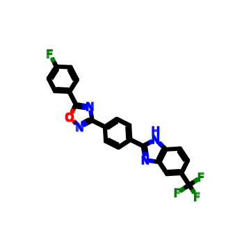 Fc1ccc(-c2nc(-c3ccc(-c4nc5cc(C(F)(F)F)ccc5[nH]4)cc3)no2)cc1